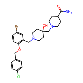 NC(=O)C1CCN(CC2(O)CCN(Cc3cc(Br)ccc3OCc3ccc(Cl)cc3)CC2)CC1